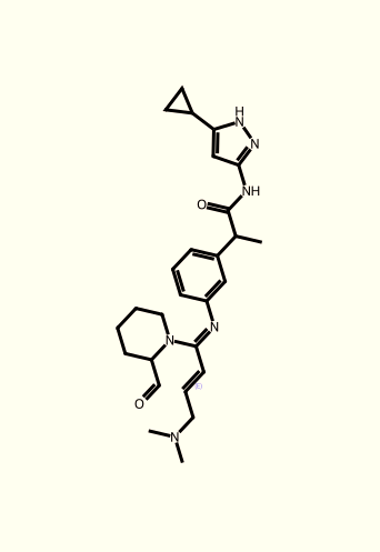 CC(C(=O)Nc1cc(C2CC2)[nH]n1)c1cccc(N=C(/C=C/CN(C)C)N2CCCCC2C=O)c1